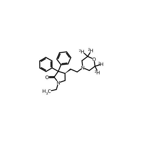 [2H]C1([2H])CN(CC[C@H]2CN(CC)C(=O)C2(c2ccccc2)c2ccccc2)CC([2H])([2H])O1